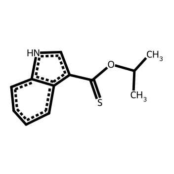 CC(C)OC(=S)c1c[nH]c2ccccc12